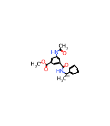 COC(=O)c1cc(NC(C)=O)cc(C(=O)N[C@H](C)c2ccccc2)c1